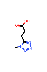 Cn1nnnc1CCC(=O)O